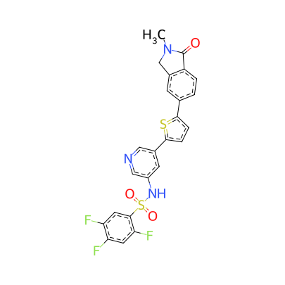 CN1Cc2cc(-c3ccc(-c4cncc(NS(=O)(=O)c5cc(F)c(F)cc5F)c4)s3)ccc2C1=O